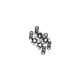 O.O=C=Nc1ccc(-c2ccc(N=C=O)cc2)cc1.O=C=Nc1ccc(-c2ccc(N=C=O)cc2)cc1